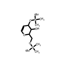 CC(C)(C)[Si](C)(C)OCC1OC=CC(O[Si](C)(C)C(C)(C)C)C1O